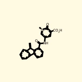 C=C1c2ccccc2-c2cccc(C(=O)Nc3cc(C(=O)O)c(=O)n(C)c3)c21